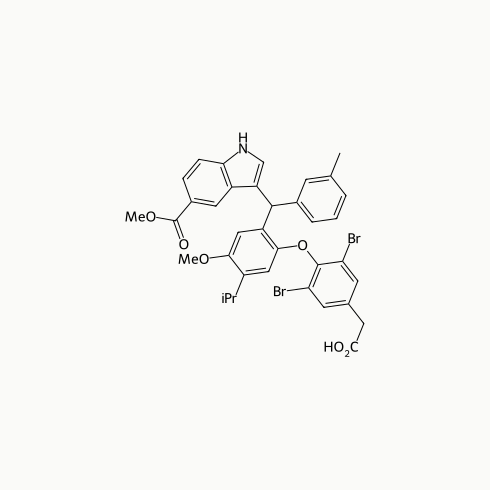 COC(=O)c1ccc2[nH]cc(C(c3cccc(C)c3)c3cc(OC)c(C(C)C)cc3Oc3c(Br)cc(CC(=O)O)cc3Br)c2c1